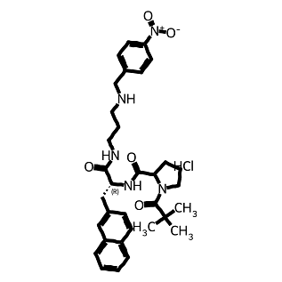 CC(C)(C)C(=O)N1CCCC1C(=O)N[C@H](Cc1ccc2ccccc2c1)C(=O)NCCCNCc1ccc([N+](=O)[O-])cc1.Cl